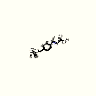 COC(=O)/C=C(\C)c1ccc(COS(C)(=O)=O)cc1